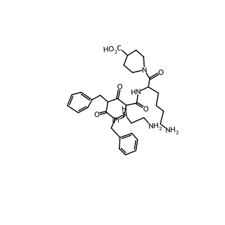 CC(C)CC(C(=O)NC(CCCCN)C(=O)N1CCC(C(=O)O)CC1)C(=O)C(Cc1ccccc1)C(=O)C(Cc1ccccc1)NCCN